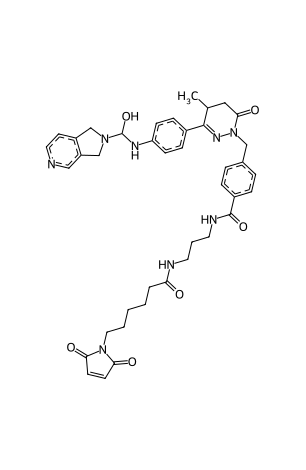 CC1CC(=O)N(Cc2ccc(C(=O)NCCCNC(=O)CCCCCN3C(=O)C=CC3=O)cc2)N=C1c1ccc(NC(O)N2Cc3ccncc3C2)cc1